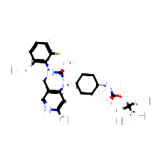 Cc1cccc(F)c1N1Cc2cnc(Cl)cc2N([C@H]2CC[C@H](NC(=O)OC(C)(C)C)CC2)C1=O